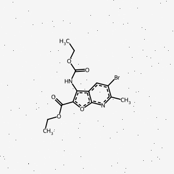 CCOC(=O)Nc1c(C(=O)OCC)oc2nc(C)c(Br)cc12